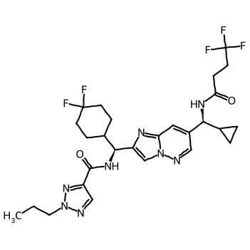 CCCn1ncc(C(=O)N[C@H](c2cn3ncc([C@@H](NC(=O)CCC(F)(F)F)C4CC4)cc3n2)C2CCC(F)(F)CC2)n1